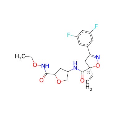 C=C[C@]1(C(=O)NC2COC(C(=O)NOCC)C2)CC(c2cc(F)cc(F)c2)=NO1